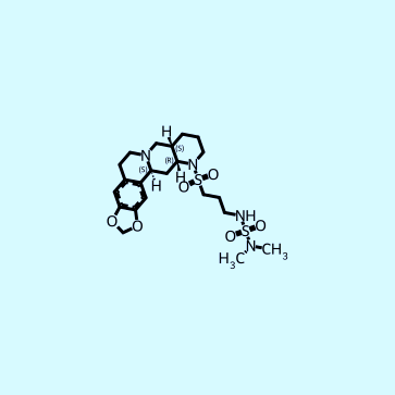 CN(C)S(=O)(=O)NCCCS(=O)(=O)N1CCC[C@H]2CN3CCc4cc5c(cc4[C@@H]3C[C@H]21)OCO5